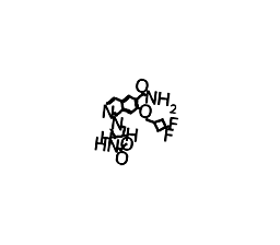 NC(=O)c1cc2ccnc(N3C[C@@H]4OC(=O)N[C@@H]4C3)c2cc1OCC1CC(F)(F)C1